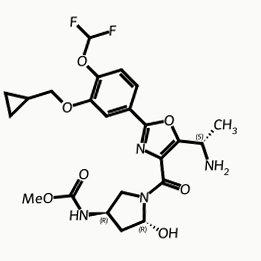 COC(=O)N[C@@H]1C[C@@H](O)N(C(=O)c2nc(-c3ccc(OC(F)F)c(OCC4CC4)c3)oc2[C@H](C)N)C1